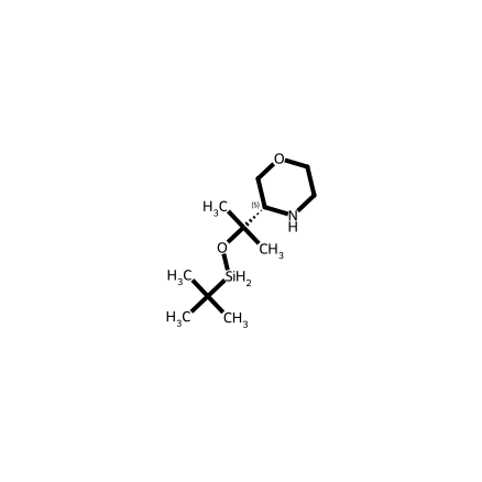 CC(C)(C)[SiH2]OC(C)(C)[C@@H]1COCCN1